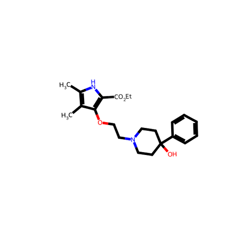 CCOC(=O)c1[nH]c(C)c(C)c1OCCN1CCC(O)(c2ccccc2)CC1